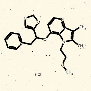 COCCn1c(C)c(C)c2nccc(OC(Cc3ccccc3)C3=COCO3)c21.Cl